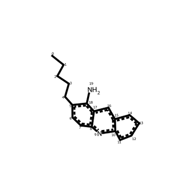 CCCCCc1ccc2nc3ccccc3cc2c1N